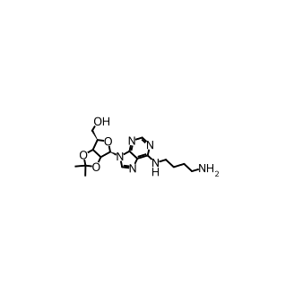 CC1(C)OC2C(O1)[C@@H](CO)O[C@H]2n1cnc2c(NCCCCN)ncnc21